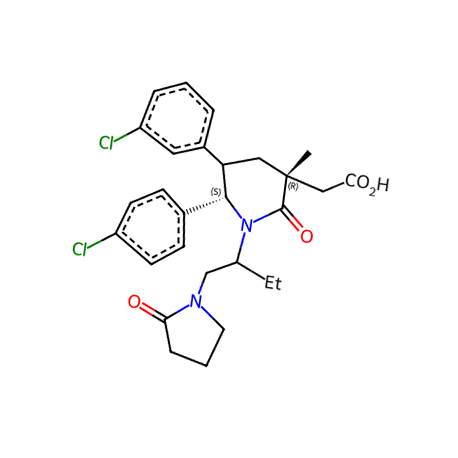 CCC(CN1CCCC1=O)N1C(=O)[C@@](C)(CC(=O)O)CC(c2cccc(Cl)c2)[C@H]1c1ccc(Cl)cc1